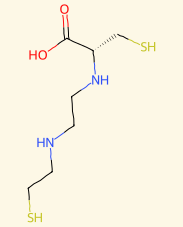 O=C(O)[C@H](CS)NCCNCCS